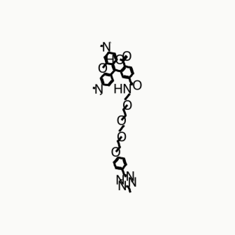 Cc1nnc(-c2ccc(OCCOCCOCCOCCNC(=O)c3ccc(C(=O)O)c(C4=C5C=CC(N(C)C)C=C5Oc5cc(N(C)C)ccc54)c3)cc2)nn1